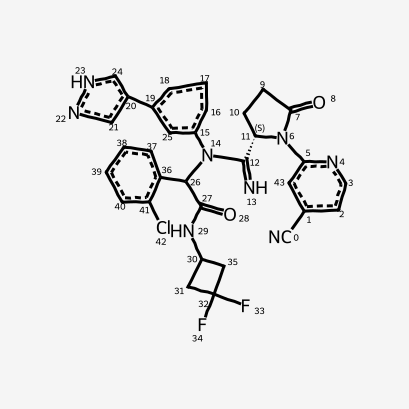 N#Cc1ccnc(N2C(=O)CC[C@H]2C(=N)N(c2cccc(-c3cn[nH]c3)c2)C(C(=O)NC2CC(F)(F)C2)c2ccccc2Cl)c1